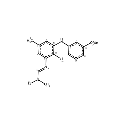 CCN(C)C=Nc1cc(C)cc(Nc2cccc(OC)c2)c1Cl